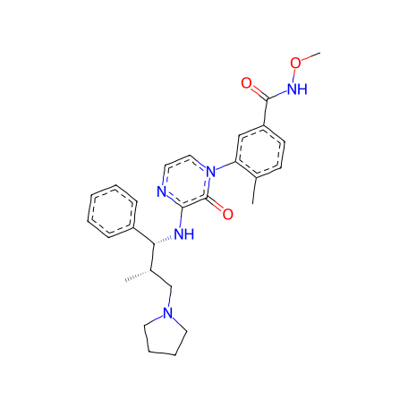 CONC(=O)c1ccc(C)c(-n2ccnc(N[C@@H](c3ccccc3)[C@@H](C)CN3CCCC3)c2=O)c1